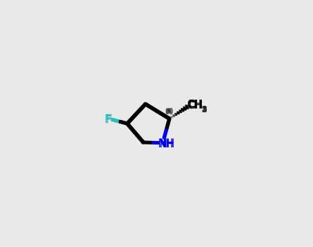 C[C@H]1CC(F)CN1